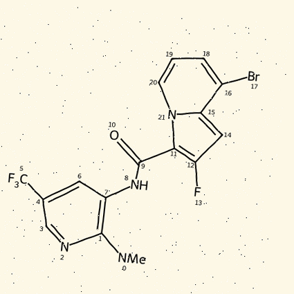 CNc1ncc(C(F)(F)F)cc1NC(=O)c1c(F)cc2c(Br)cccn12